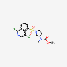 CN(C(=O)OC(C)(C)C)[C@H]1CCN(S(=O)(=O)c2cccc3c(Cl)ncc(Cl)c23)C1